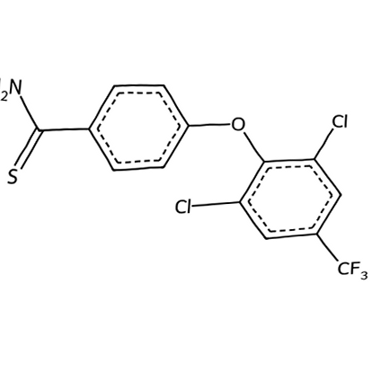 NC(=S)c1ccc(Oc2c(Cl)cc(C(F)(F)F)cc2Cl)cc1